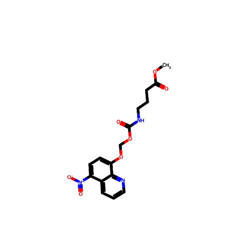 COC(=O)CCCNC(=O)OCOc1ccc([N+](=O)[O-])c2cccnc12